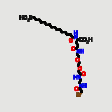 O=C(CBr)NCCNC(=O)COCCOCCNC(=O)CCC(NC(=O)CCCCCCCCCCCCCCCS(=O)(=O)O)C(=O)O